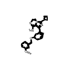 COc1cccc(COc2cccc(-c3nc(C4CCC4)n4ccnc([NH])c34)c2)c1